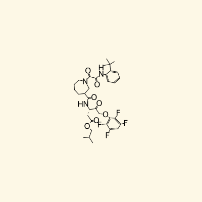 CC(C)COC(=O)C[C@H](NC(=O)C1CCCCN(C(=O)C(=O)Nc2ccccc2C(C)(C)C)C1)C(=O)COc1c(F)c(F)cc(F)c1F